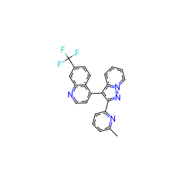 Cc1cccc(-c2nn3ccccc3c2-c2ccnc3cc(C(F)(F)F)ccc23)n1